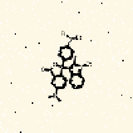 CCN(CC)c1ccc(C2(c3c(C)n(CC)c4ccccc34)OC(=O)c3cc(N(C)C)ccc32)cc1